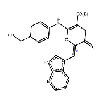 CCOC(=O)C1=C(NC2=CCC(CO)C=C2)O/C(=C\c2c[nH]c3ncccc23)C(=O)C1